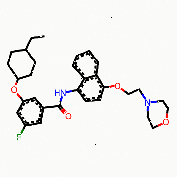 CCC1CCC(Oc2cc(F)cc(C(=O)Nc3ccc(OCCN4CCOCC4)c4ccccc34)c2)CC1